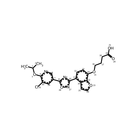 CC(C)Oc1ncc(-c2nc(-c3ccc(OCCCC(=O)O)c4occc34)no2)cc1Cl